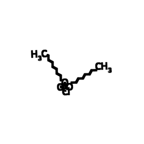 CCCCCCCCCOP(=O)(Cl)OCCCCCCCCC